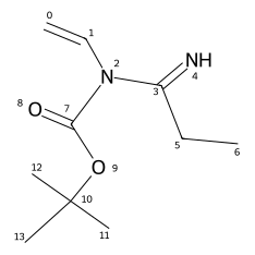 C=CN(C(=N)CC)C(=O)OC(C)(C)C